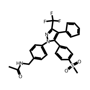 CC(=O)NCc1ccc(-n2nc(C(F)(F)F)c(-c3ccccc3)c2-c2ccc(S(C)(=O)=O)cc2)cc1